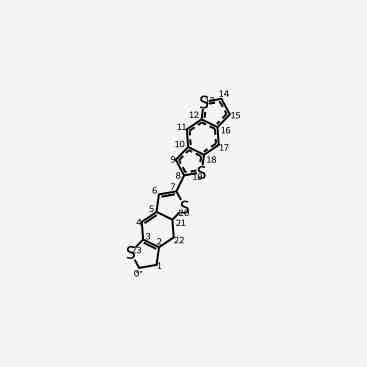 [C]1CC2=C(C=C3C=C(c4cc5cc6sccc6cc5s4)SC3C2)S1